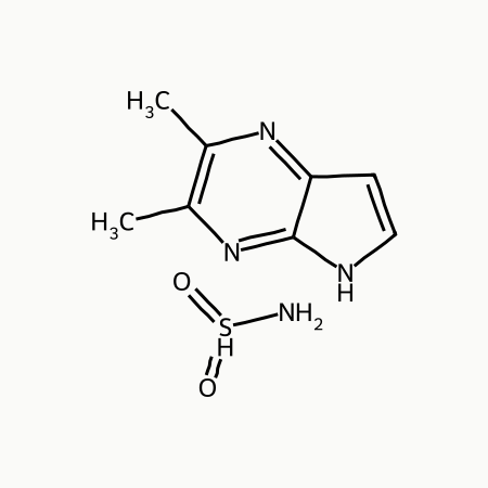 Cc1nc2cc[nH]c2nc1C.N[SH](=O)=O